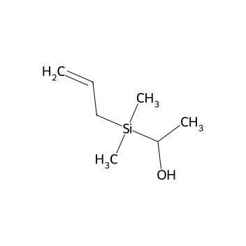 C=CC[Si](C)(C)C(C)O